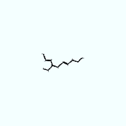 CCCC=CCC(CC)CCC